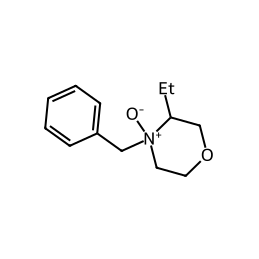 CCC1COCC[N+]1([O-])Cc1ccccc1